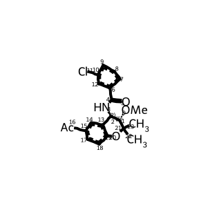 CO[C@H]1[C@H](NC(=O)c2cccc(Cl)c2)c2cc(C(C)=O)ccc2OC1(C)C